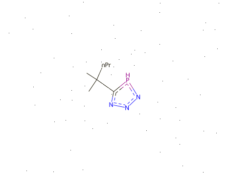 CCCC(C)(C)c1nnn[pH]1